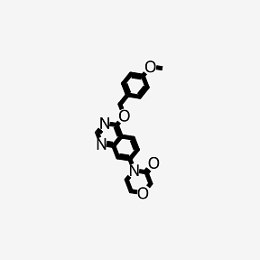 COc1ccc(COc2ncnc3cc(N4CCOCC4=O)ccc23)cc1